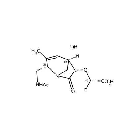 CC(=O)NC[C@@H]1C(C)=C[C@@H]2CN1C(=O)N2O[C@@H](F)C(=O)O.[LiH]